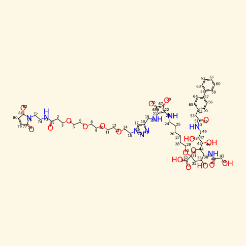 O=C(CCOCCOCCOCCOCCn1cc(CNc2c(NCCCCCCO[C@]3(C(=O)O)C[C@H](O)[C@@H](NC(=O)CO)[C@H]([C@H](O)[C@H](O)CNC(=O)Cc4ccc(-c5ccccc5)cc4)O3)c(=O)c2=O)nn1)NCCN1C(=O)C=CC1=O